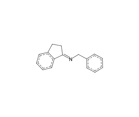 c1ccc(C/N=C2\CCc3ccccc32)cc1